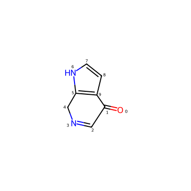 O=C1C=NCc2[nH]ccc21